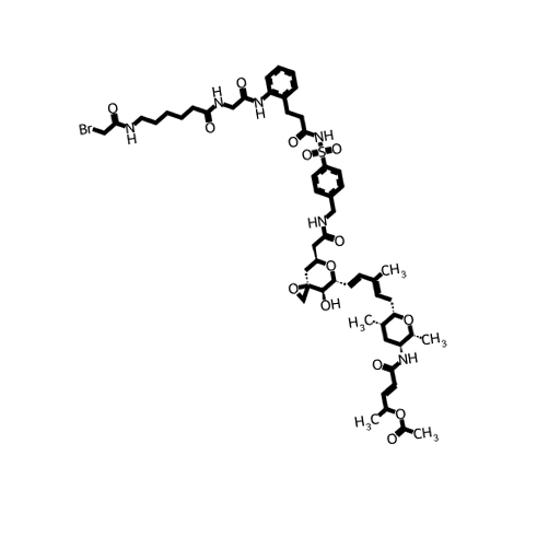 CC(=O)OC(C)C=CC(=O)N[C@@H]1C[C@H](C)[C@H](CC=C(C)C=C[C@H]2O[C@H](CC(=O)NCc3ccc(S(=O)(=O)NC(=O)CCc4ccccc4NC(=O)CNC(=O)CCCCCNC(=O)CBr)cc3)C[C@@]3(CO3)[C@@H]2O)O[C@@H]1C